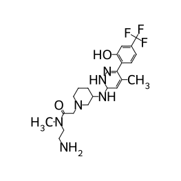 CC1=CC(NC2CCCN(CC(=O)N(C)CCN)C2)NN=C1c1ccc(C(F)(F)F)cc1O